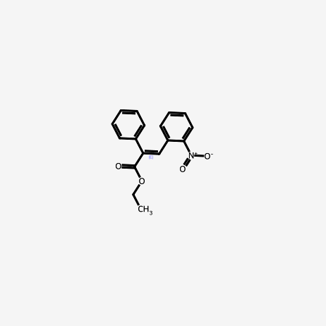 CCOC(=O)/C(=C/c1ccccc1[N+](=O)[O-])c1ccccc1